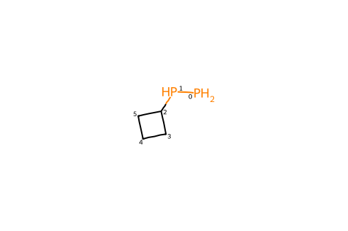 PPC1CCC1